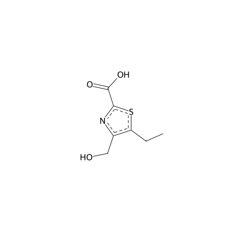 CCc1sc(C(=O)O)nc1CO